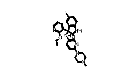 CCOc1ncccc1C1(Nc2ccc(N3CCN(C)CC3)nc2)C(=O)Nc2ccc(I)cc21